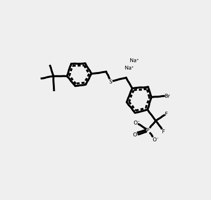 CC(C)(C)c1ccc(CSCc2ccc(C(F)(F)P(=O)([O-])[O-])c(Br)c2)cc1.[Na+].[Na+]